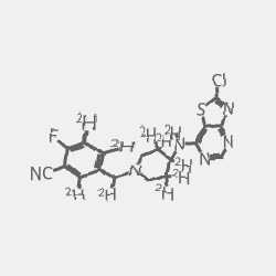 [2H]c1c([2H])c(C([2H])N2CC([2H])([2H])C([2H])(N([2H])c3ncnc4nc(Cl)sc34)C([2H])([2H])C2)c([2H])c(C#N)c1F